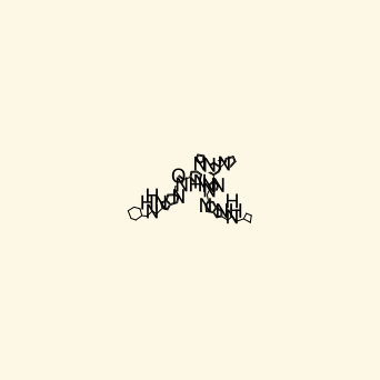 O=C(NCc1cc2[nH]c(CNCC3CCCCC3)cc2cn1)c1cncc(-n2cccc2-[n+]2cc(-c3ncn(Cc4cc5[nH]c(CNCC6CCC6)cc5cn4)n3)cc(-n3cccc3)c2)c1